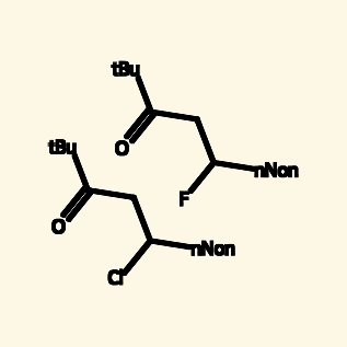 CCCCCCCCCC(Cl)CC(=O)C(C)(C)C.CCCCCCCCCC(F)CC(=O)C(C)(C)C